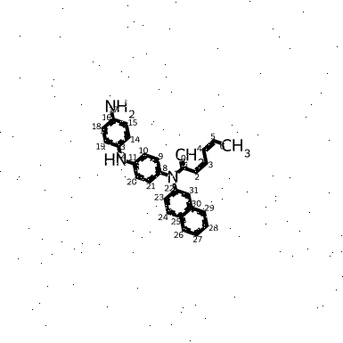 C=C(/C=C\C=C/C)N(c1ccc(Nc2ccc(N)cc2)cc1)c1ccc2ccccc2c1